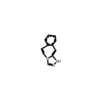 C1=CN2C=NNC2=Cc2ccccc21